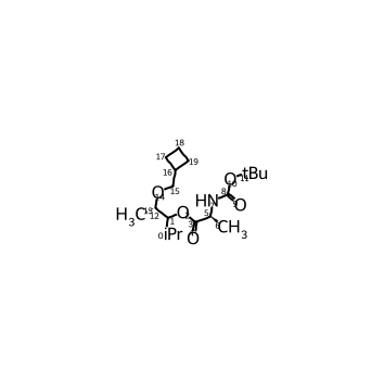 CC(C)C(OC(=O)[C@H](C)NC(=O)OC(C)(C)C)[C@H](C)OCC1CCC1